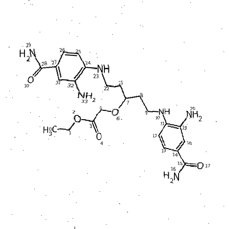 CCOC(=O)COC(CCNc1ccc(C(N)=O)cc1N)CCNc1ccc(C(N)=O)cc1N